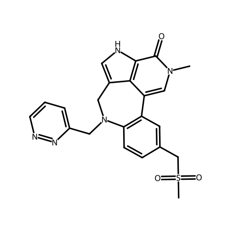 Cn1cc2c3c(c[nH]c3c1=O)CN(Cc1cccnn1)c1ccc(CS(C)(=O)=O)cc1-2